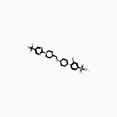 CS(=O)(=O)c1ccc([C@H]2CC[C@H](OCC3CCN(c4ncc(C(F)(F)F)cn4)CC3)CC2)c(F)c1